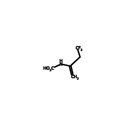 C=C(CC(F)(F)F)NC(=O)O